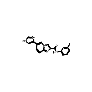 O=C(Nc1cccc(F)c1)c1cn2cc(-c3c[nH]cn3)ccc2n1